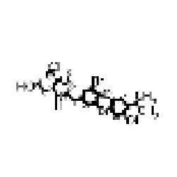 COC(=O)[C@H](CCO)NC(=O)Cc1cc(Br)c(Oc2ccc(O)c(C(C)C)c2)c(Br)c1